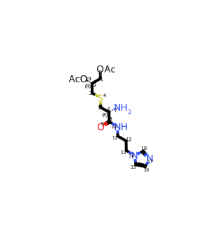 CC(=O)OC[C@H](CSC[C@H](N)C(=O)NCCCn1ccnc1)OC(C)=O